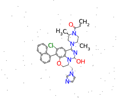 C=CC(=O)N1C[C@H](C)N(C2=NC(O)N3c4c2cc(Cl)c(-c2cccc5ccccc25)c4OC[C@H]3Cn2ccnc2)C[C@H]1C